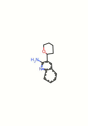 Nc1nc2ccccc2cc1C1CCCCO1